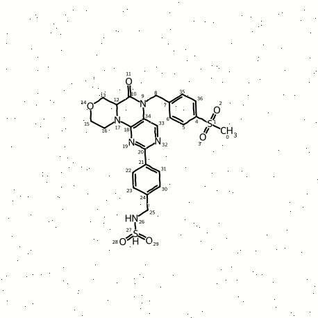 CS(=O)(=O)c1ccc(CN2C(=O)C3COCCN3c3nc(-c4ccc(CN[SH](=O)=O)cc4)ncc32)cc1